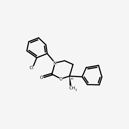 C[C@]1(c2ccccc2)CCN(c2ccccc2Cl)C(=O)O1